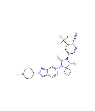 CN1CCC(n2cc3ccc(N4C(=S)N(c5cnc(C#N)c(C(F)(F)F)c5)C(=O)C45CCC5)cc3n2)CC1